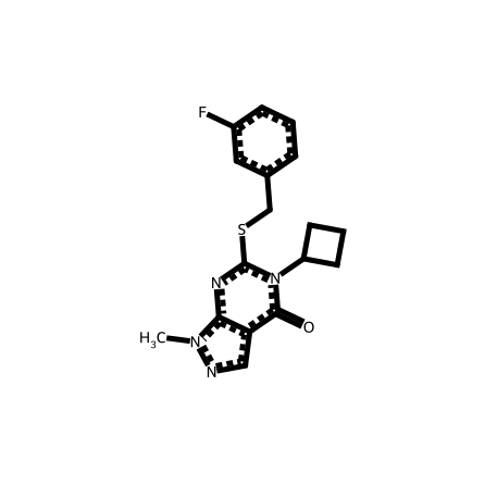 Cn1ncc2c(=O)n(C3CCC3)c(SCc3cccc(F)c3)nc21